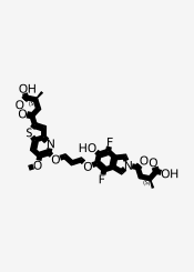 COc1cc2sc(C(=O)C[C@H](C)C(=O)O)cc2nc1OCCCOc1c(O)c(F)c2c(c1F)CN(C(=O)C[C@H](C)C(=O)O)C2